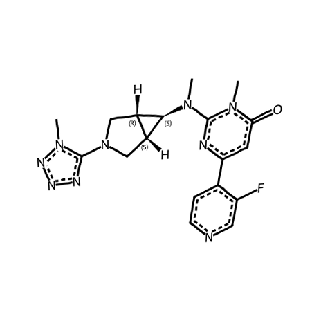 CN(c1nc(-c2ccncc2F)cc(=O)n1C)[C@H]1[C@@H]2CN(c3nnnn3C)C[C@@H]21